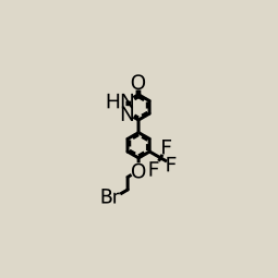 O=c1ccc(-c2ccc(OCCBr)c(C(F)(F)F)c2)n[nH]1